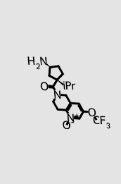 CC(C)[C@]1(C(=O)N2CCc3c(cc(OC(F)(F)F)c[n+]3[O-])C2)CC[C@@H](N)C1